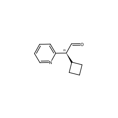 O=C[C@H](c1ccccn1)C1CCC1